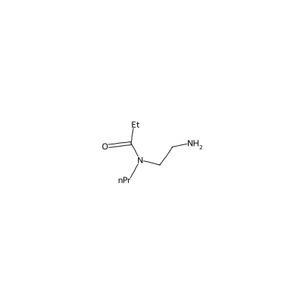 CCCN(CCN)C(=O)CC